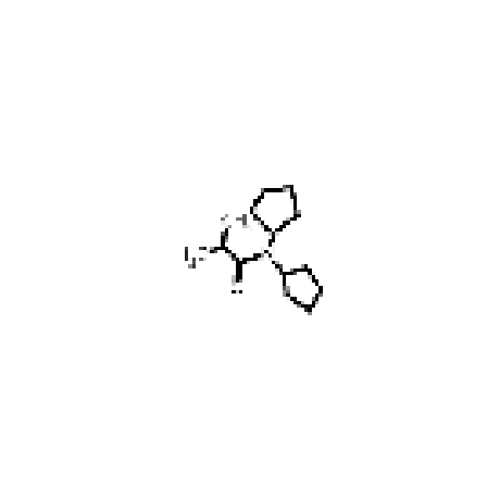 CC(C)C(=O)N(C1CCCC1)C1CCCC1